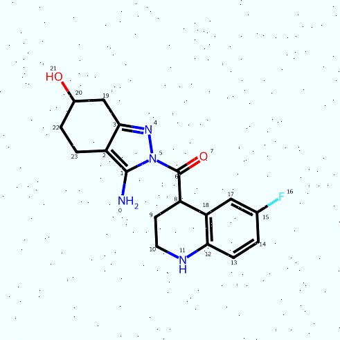 Nc1c2c(nn1C(=O)C1CCNc3ccc(F)cc31)CC(O)CC2